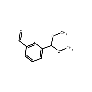 COC(OC)c1cccc(C=O)n1